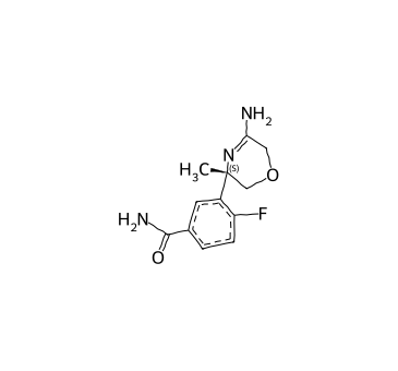 C[C@]1(c2cc(C(N)=O)ccc2F)COCC(N)=N1